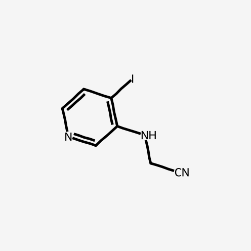 N#CCNc1cnccc1I